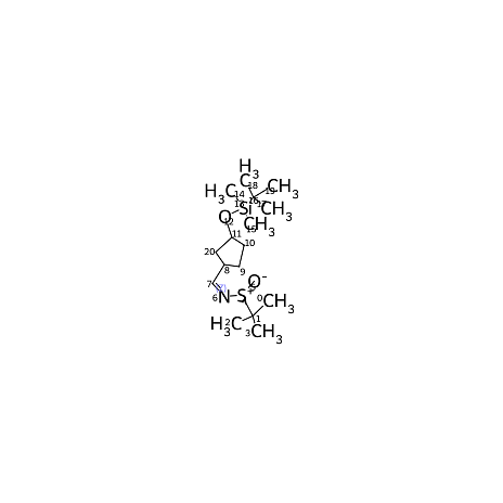 CC(C)(C)[S+]([O-])/N=C\C1CCC(O[Si](C)(C)C(C)(C)C)C1